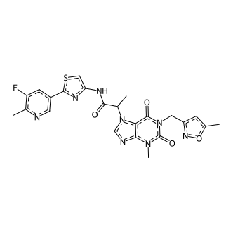 Cc1cc(Cn2c(=O)c3c(ncn3C(C)C(=O)Nc3csc(-c4cnc(C)c(F)c4)n3)n(C)c2=O)no1